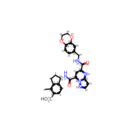 Cc1c(C(=O)O)ccc2c1CC[C@@H]2NC(=O)c1cc(C(=O)NCc2ccc3c(c2)OCCO3)nc2ccnn12